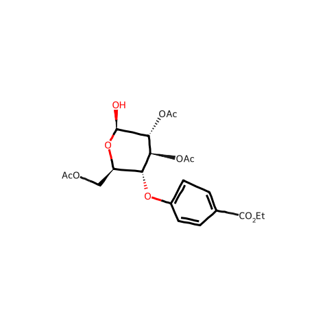 CCOC(=O)c1ccc(O[C@H]2[C@H](OC(C)=O)[C@@H](OC(C)=O)[C@H](O)O[C@@H]2COC(C)=O)cc1